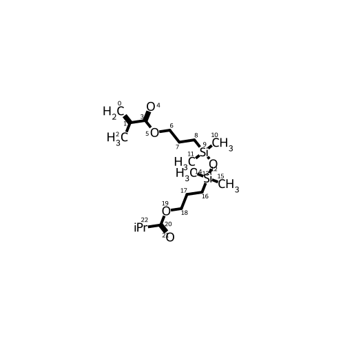 C=C(C)C(=O)OCCC[Si](C)(C)O[Si](C)(C)CCCOC(=O)C(C)C